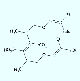 CCCCC(=COCC(C)C(C(=O)O)=C(C(=O)O)C(C)COC=C(CC)CCCC)CC